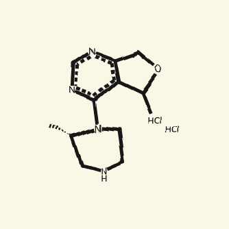 CC1OCc2ncnc(N3CCNC[C@@H]3C)c21.Cl.Cl